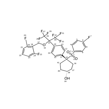 O=S(=O)(c1ccc(F)cc1)[C@]1(c2ccc(C(OCc3c(F)cccc3F)(C(F)(F)F)C(F)(F)F)cc2)CC[C@H](O)CC1